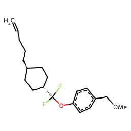 C=CCCC[C@H]1CC[C@H](C(F)(F)Oc2ccc(COC)cc2)CC1